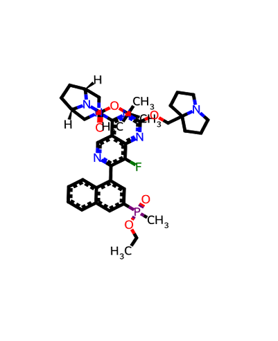 CCOP(C)(=O)c1cc(-c2ncc3c(N4C[C@H]5CC[C@@H](C4)N5C(=O)OC(C)(C)C)nc(OCC45CCCN4CCC5)nc3c2F)c2ccccc2c1